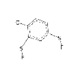 [O]c1ccc(SF)cc1SF